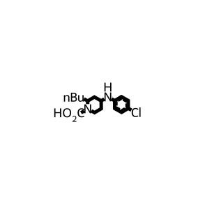 CCCCC1CC(Nc2ccc(Cl)cc2)CCN1C(=O)O